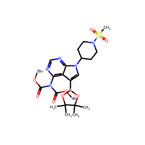 CC(C)(C)OC(=O)N(C(=O)OC(C)(C)C)c1ncnc2c1c(B1OC(C)(C)C(C)(C)O1)cn2C1CCN(S(C)(=O)=O)CC1